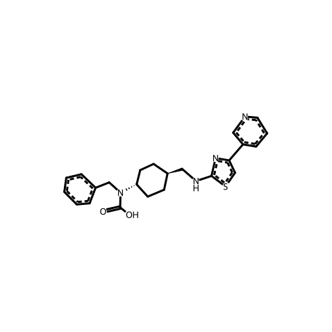 O=C(O)N(Cc1ccccc1)[C@H]1CC[C@H](CNc2nc(-c3cccnc3)cs2)CC1